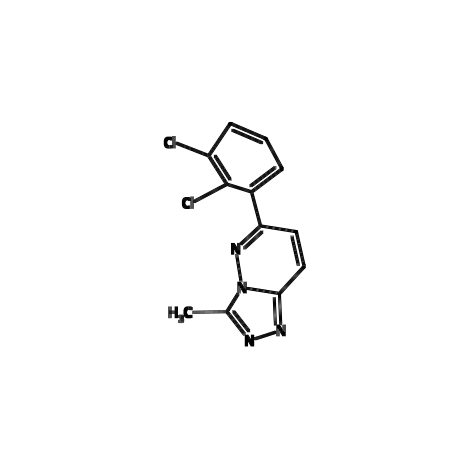 Cc1nnc2ccc(-c3cccc(Cl)c3Cl)nn12